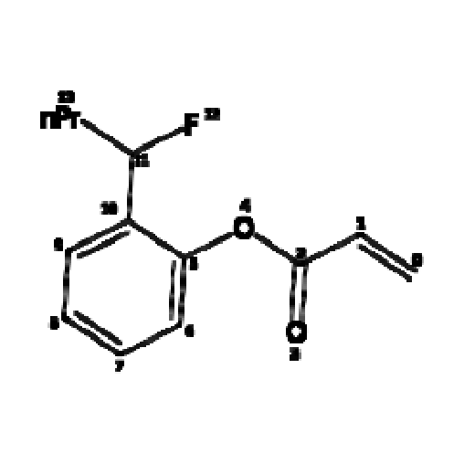 C=CC(=O)Oc1ccccc1C(F)CCC